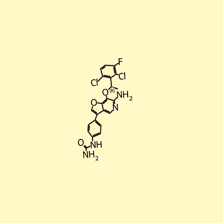 C[C@@H](Oc1c(N)ncc2c(-c3ccc(NC(N)=O)cc3)coc12)c1c(Cl)ccc(F)c1Cl